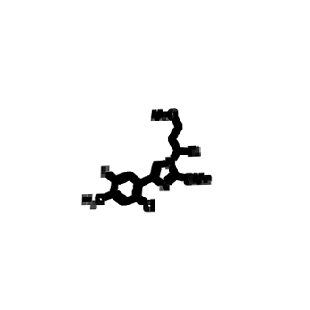 CCC(CCOC)n1cc(-c2cc(F)c(C)cc2Cl)nc1OC